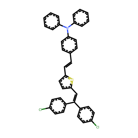 Clc1ccc(C(=Cc2ccc(C=Cc3ccc(N(c4ccccc4)c4ccccc4)cc3)s2)c2ccc(Cl)cc2)cc1